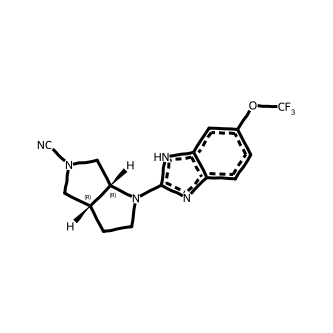 N#CN1C[C@H]2CCN(c3nc4ccc(OC(F)(F)F)cc4[nH]3)[C@H]2C1